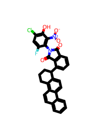 O=C1c2cccc(C3CCCc4c3ccc3c4ccc4ccccc43)c2C(=O)N1c1c(F)cc(Cl)c(O)c1[N+](=O)[O-]